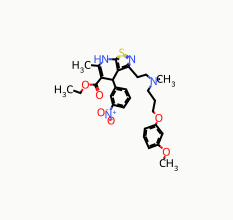 CCOC(=O)C1=C(C)Nc2snc(CCN(C)CCCOc3cccc(OC)c3)c2C1c1cccc([N+](=O)[O-])c1